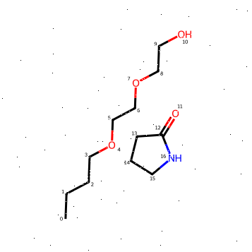 CCCCOCCOCCO.O=C1CCCN1